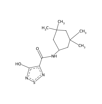 CC1(C)CC(NC(=O)c2nsnc2O)CC(C)(C)C1